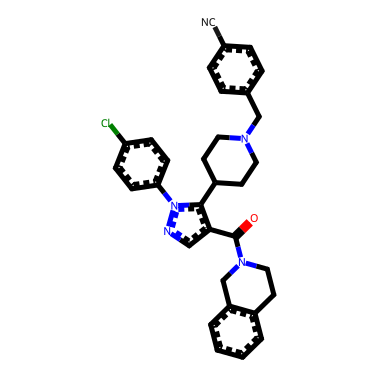 N#Cc1ccc(CN2CCC(c3c(C(=O)N4CCc5ccccc5C4)cnn3-c3ccc(Cl)cc3)CC2)cc1